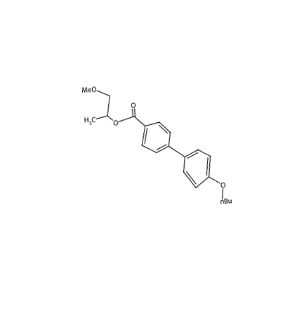 CCCCOc1ccc(-c2ccc(C(=O)OC(C)COC)cc2)cc1